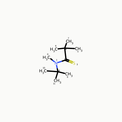 CN(C(=S)C(C)(C)C)C(C)(C)C